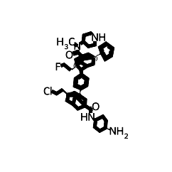 CN(C(=O)C12CC3C[C@](c4ccccc4)(C1)C[C@](CCF)(C2)C3c1ccc([C@]23CC4CC(C(=O)N[C@H]5CC[C@@H](N)CC5)(C[C@](CCCl)(C4)C2)C3)cc1)C1CCNCC1